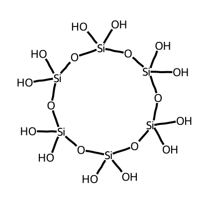 O[Si]1(O)O[Si](O)(O)O[Si](O)(O)O[Si](O)(O)O[Si](O)(O)O[Si](O)(O)O1